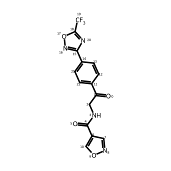 O=C(CNC(=O)c1cnoc1)c1ccc(-c2noc(C(F)(F)F)n2)cc1